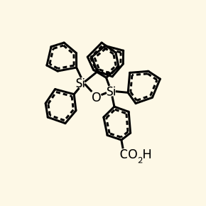 O=C(O)c1ccc([Si](O[Si](c2ccccc2)(c2ccccc2)c2ccccc2)(c2ccccc2)c2ccccc2)cc1